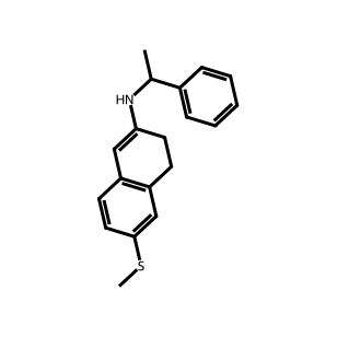 CSc1ccc2c(c1)CCC(NC(C)c1ccccc1)=C2